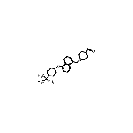 CC(C)(C)[C@H]1CC[C@H](Oc2cccc3c(CN4CCC([C]=O)CC4)cccc23)CC1